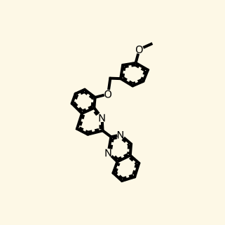 COc1cccc(COc2cccc3ccc(-c4ncc5ccccc5n4)nc23)c1